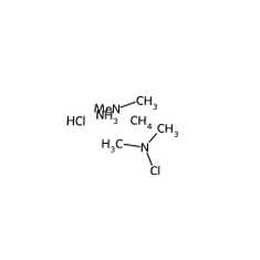 C.CN(C)Cl.CNC.Cl.N